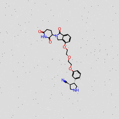 N#C[C@@H]1CNC[C@H]1c1cccc(OCCOCCOc2cccc3c2CN(C2CCC(=O)NC2=O)C3=O)c1